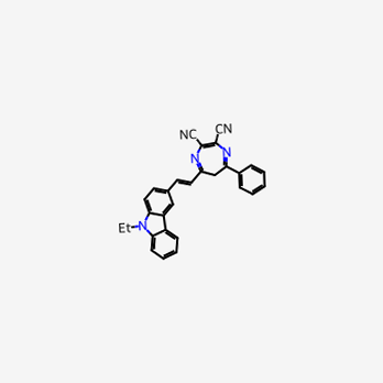 CCn1c2ccccc2c2cc(C=CC3=NC(C#N)=C(C#N)N=C(c4ccccc4)C3)ccc21